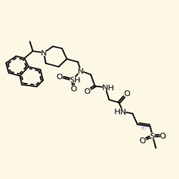 CC(c1cccc2ccccc12)N1CCC(CN(CC(=O)NCC(=O)NC/C=C/S(C)(=O)=O)[SH](=O)=O)CC1